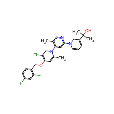 CC1=CC(OCc2ccc(F)cc2F)=C(Cl)CN1c1cc(N2C=CC=C(C(C)(C)O)C2)ncc1C